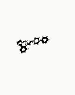 CC(=O)N1C=CSC1c1ccccc1OCCN1CCN(c2ccccc2)CC1